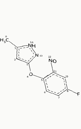 Cc1cc(Oc2ccc(F)cc2N=O)n[nH]1